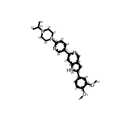 COc1ccc(-c2cc3cnc(-c4ccc(N5CCN(C(C)C)CC5)nc4)cc3[nH]2)cc1OC